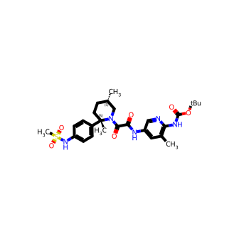 Cc1cc(NC(=O)C(=O)N2C[C@@H](C)CC[C@@]2(C)c2ccc(NS(C)(=O)=O)cc2)cnc1NC(=O)OC(C)(C)C